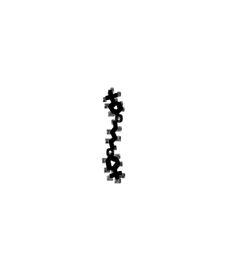 CC(C)(C)c1ccc(OCCCCCCOc2ccc(C(C)(C)C)cc2)cc1